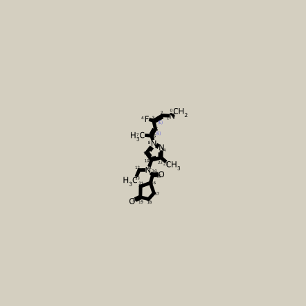 C=N/C=C(F)\C=C(/C)n1cc(N(CC)C(=O)C2CCC(=O)C2)c(C)n1